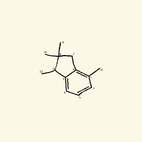 Cc1cccc2c1CC(C)(C)C2C